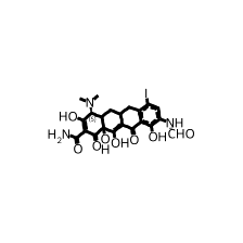 CN(C)[C@@H]1C(O)=C(C(N)=O)C(=O)C2(O)C(O)=C3C(=O)c4c(O)c(NC=O)cc(I)c4CC3CC12